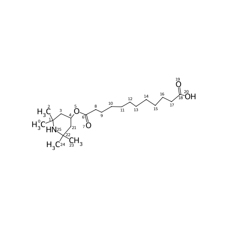 CC1(C)CC(OC(=O)CCCCCCCCCCC(=O)O)CC(C)(C)N1